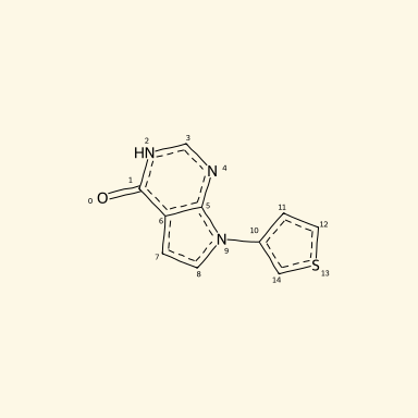 O=c1[nH]cnc2c1ccn2-c1ccsc1